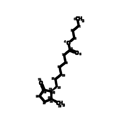 CCCCOC(=O)CCCCCC[C@H]1C(=O)CC[C@@H]1C